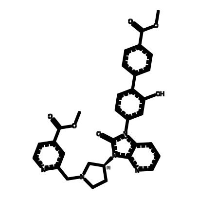 COC(=O)c1ccc(-c2ccc(-n3c(=O)n([C@H]4CCN(Cc5cc(C(=O)OC)ccn5)C4)c4ncccc43)cc2O)cc1